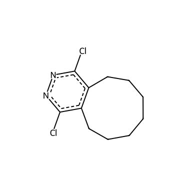 Clc1nnc(Cl)c2c1CCCCCCC2